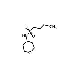 CCCCS(=O)(=O)NN1CCOCC1